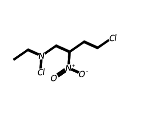 CCN(Cl)CC(CCCl)[N+](=O)[O-]